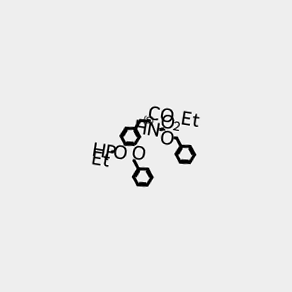 CCOC(=O)[C@H](Cc1ccc(OPCC)c(OCc2ccccc2)c1)NC(=O)OCc1ccccc1